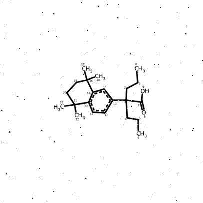 CCCC(CCC)(C(=O)O)c1ccc2c(c1)C(C)(C)CCC2(C)C